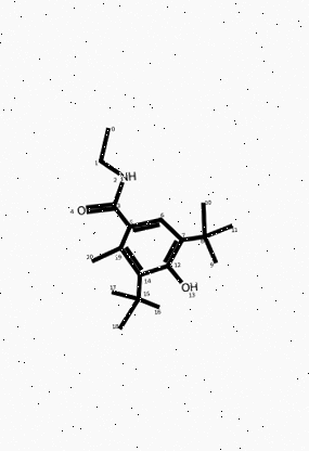 CCNC(=O)c1cc(C(C)(C)C)c(O)c(C(C)(C)C)c1C